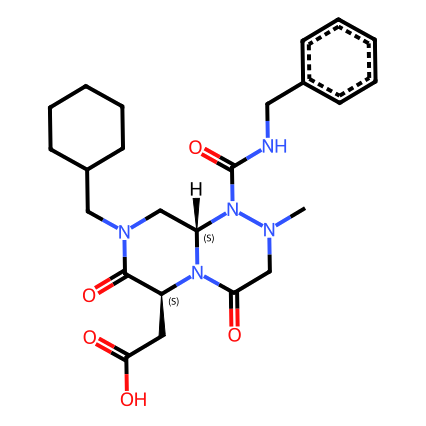 CN1CC(=O)N2[C@@H](CC(=O)O)C(=O)N(CC3CCCCC3)C[C@@H]2N1C(=O)NCc1ccccc1